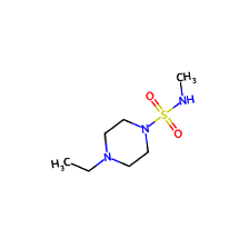 CCN1CCN(S(=O)(=O)NC)CC1